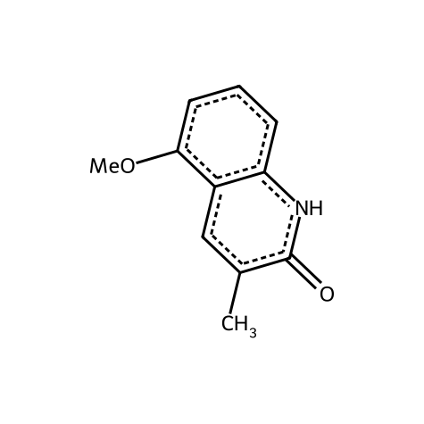 COc1cccc2[nH]c(=O)c(C)cc12